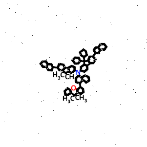 CC1(C)c2cc(-c3ccc4ccccc4c3)ccc2-c2ccc(N(c3ccc4c(c3)C(c3ccccc3)(c3ccccc3)c3cc(-c5ccc6ccccc6c5)ccc3-4)c3ccc(-c4cccc5c4Oc4ccccc4C5(C)C)c4ccccc34)cc21